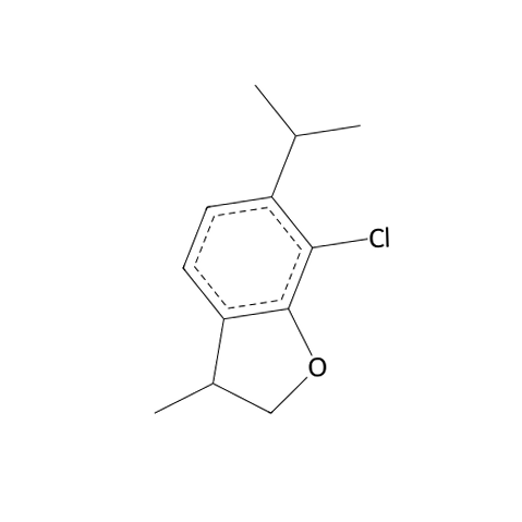 CC(C)c1ccc2c(c1Cl)OCC2C